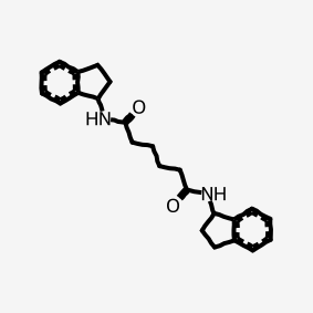 O=C(CCCCC(=O)NC1CCc2ccccc21)NC1CCc2ccccc21